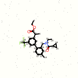 CCOC(=O)C(C)c1cc(-c2ccc(C)cc2CN(CC)C(=O)C2CC2)cc(C(F)(F)F)c1